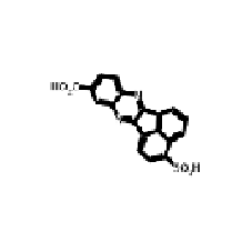 O=C(O)c1ccc2nc3c(nc2c1)-c1ccc(S(=O)(=O)O)c2cccc-3c12